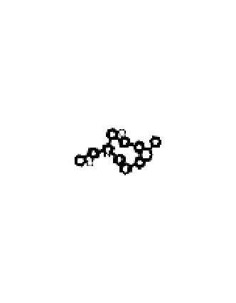 C1=CC(c2ccc3c(c2)-c2cc(-c4ccc5c(c4)oc4cccc(-c6cc(-c7ccccc7)nc(-c7ccc8c(c7)oc7ccccc78)c6)c45)ccc2C(c2ccccc2)CC3)=CCC1